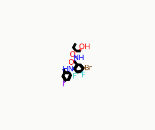 CCC(CO)ONC(=O)c1cc(Br)c(F)c(F)c1Nc1ccc(I)cc1C